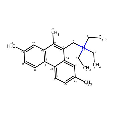 CC[N+](CC)(CC)Cc1c(C)c2cc(C)ccc2c2ccc(C)cc12